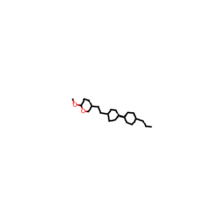 CCCC1CCC(C2CCC(CCC3CCC(OC)OC3)CC2)CC1